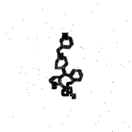 C=C1Cc2ccccc2C(=C2CCN(Cc3cccnc3)CC2)c2ccsc21